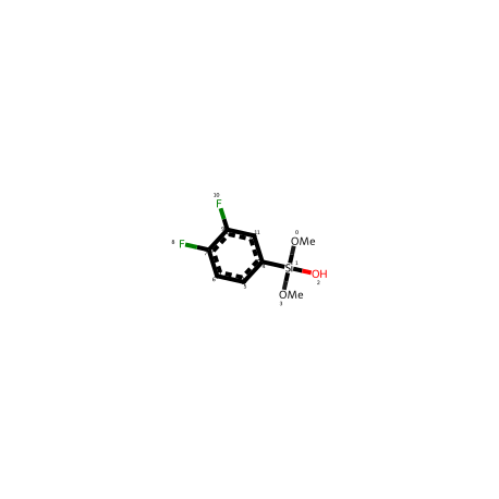 CO[Si](O)(OC)c1ccc(F)c(F)c1